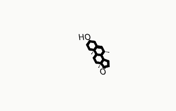 C[C@H]1C=C2C[C@@H](O)CC[C@]2(C)C2CC[C@]3(C)C(=O)CCC3C21